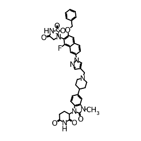 Cn1c(=O)n(C2CCC(=O)NC2=O)c2ccc(C3CCN(Cc4cnn(-c5ccc6cc(OCc7ccccc7)c(N7CC(=O)NS7(=O)=O)c(F)c6c5)c4)CC3)cc21